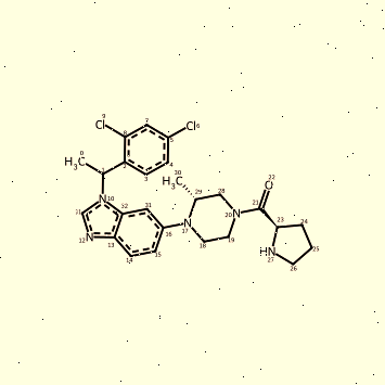 CC(c1ccc(Cl)cc1Cl)n1cnc2ccc(N3CCN(C(=O)[C@H]4CCCN4)C[C@H]3C)cc21